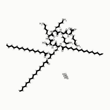 CCCCCCCCCCCCCCCC(=O)N[C@@H](CSCC(COC(=O)CCCCCCCCCCCCCCC)OC(=O)CCCCCCCCCCCCCCC)C(=O)N[C@@H](CO)C(=O)N[C@@H](CCCCN)C(=O)N[C@@H](CCCCN)C(=O)N[C@@H](CCCCN)C(=O)N[C@@H](CCCCN)C(=O)O.Cl.Cl.Cl